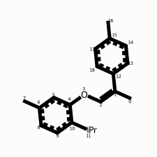 CC(=COc1cc(C)ccc1C(C)C)c1ccc(C)cc1